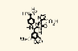 COc1cc([C@H](Nc2ccc(C(=N)N)cc2)c2nn(-c3ncsc3C(=O)O)c(=O)[nH]2)cc2c1OCOC2